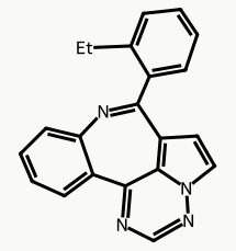 CCc1ccccc1C1=Nc2ccccc2-c2ncnn3ccc1c23